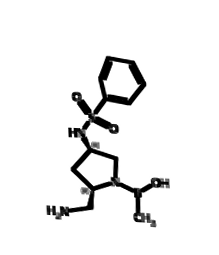 CB(O)N1C[C@H](NS(=O)(=O)c2ccccc2)C[C@@H]1CN